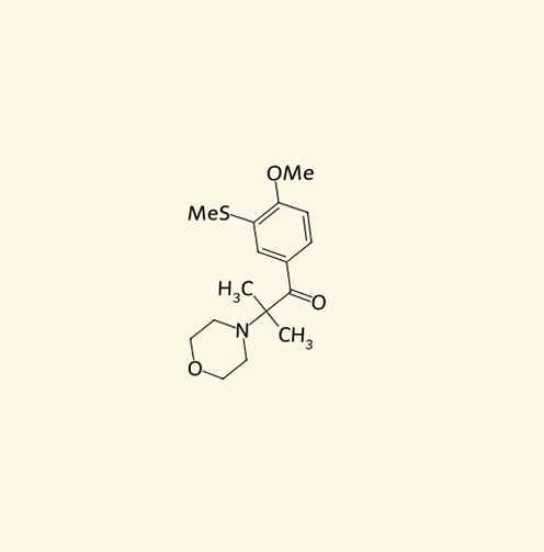 COc1ccc(C(=O)C(C)(C)N2CCOCC2)cc1SC